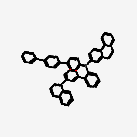 c1ccc(-c2ccc(-c3ccc(N(c4ccc5c(ccc6ccccc65)c4)c4ccccc4-c4cccc(-c5cccc6ccccc56)c4)cc3)cc2)cc1